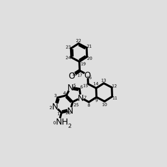 Nc1ncc2ncn(CC3CCCCC3COC(=O)c3ccccc3)c2n1